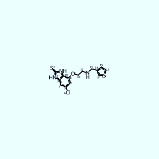 S=c1[nH]c2cc(Cl)cc(OCCNCc3ccsc3)c2[nH]1